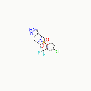 O=S(=O)(c1ccc(Cl)cc1)N1C2Cc3n[nH]cc3C1CC(/C=C\C(F)(F)F)C2